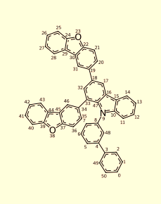 c1ccc(-c2cccc(-n3c4ccccc4c4cc(-c5ccc6oc7ccccc7c6c5)cc(-c5ccc6oc7ccccc7c6c5)c43)c2)cc1